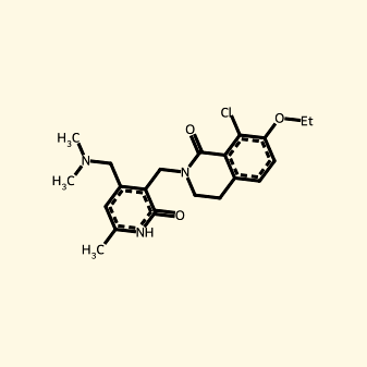 CCOc1ccc2c(c1Cl)C(=O)N(Cc1c(CN(C)C)cc(C)[nH]c1=O)CC2